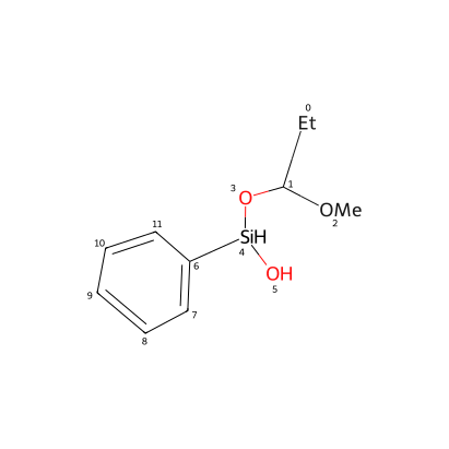 CCC(OC)O[SiH](O)c1ccccc1